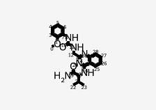 COc1ccccc1NC(=O)NCc1nc(N[C@H](C(N)=O)C(C)C)c2ccccc2n1